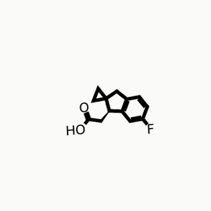 O=C(O)C[C@@H]1c2cc(F)ccc2CC12CC2